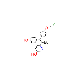 CCC(=C(c1ccc(O)cc1)c1ccc(OCCCl)cc1)c1ccc(O)cn1